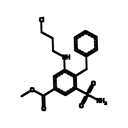 COC(=O)c1cc(NCCCCl)c(Cc2ccccc2)c(S(N)(=O)=O)c1